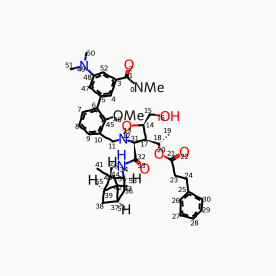 CNC(=O)c1cc(-c2cccc(CN3O[C@@H](CO)[C@@H]([C@H](C)OC(=O)CCc4ccccc4)[C@H]3C(=O)N[C@H]3C[C@H]4C[C@@H]([C@@H]3C)C4(C)C)c2OC)cc(N(C)C)c1